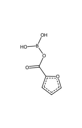 O=C(OB(O)O)c1ccco1